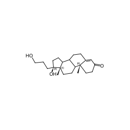 C[C@]12CCC(=O)C=C1CCC1C2CC[C@@]2(C)C1CC[C@@]2(O)CCCO